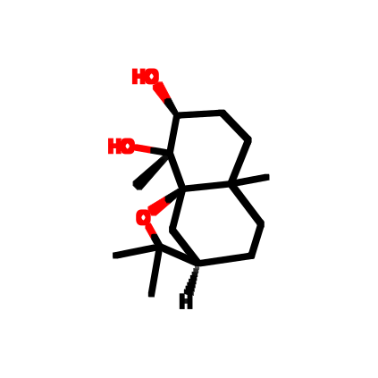 CC1(C)O[C@]23C[C@H]1CCC2(C)CC[C@H](O)[C@@]3(C)O